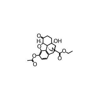 CCOC(=O)N1CC[C@]23c4c5ccc(OC(C)=O)c4O[C@H]2C(=O)CC[C@@]3(O)C1C5